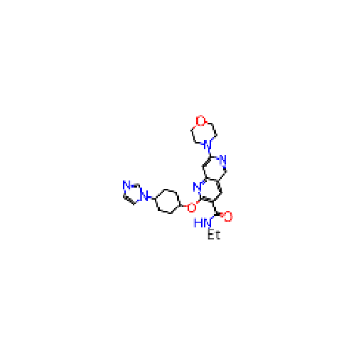 CCNC(=O)c1cc2cnc(N3CCOCC3)cc2nc1OC1CCC(n2ccnc2)CC1